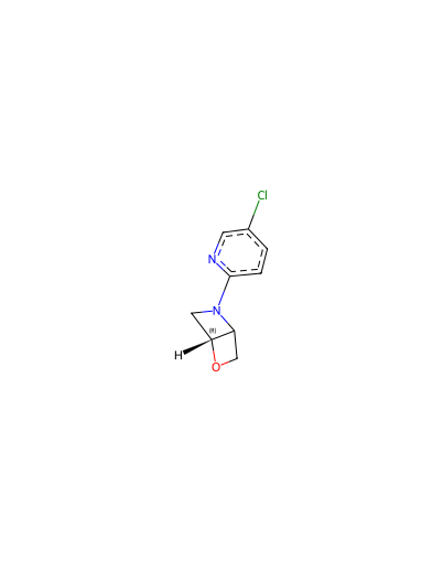 Clc1ccc(N2C[C@H]3OCC32)nc1